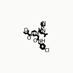 CC(C)c1cc(N2CCN(C(=O)C3CCOC3)CC2CC(=O)NCc2ccc(Cl)cc2)nc(-n2ccnc2)n1